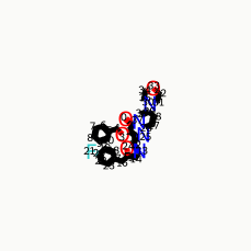 O=c1c(OCc2ccccc2)c(-c2ncc(Cc3ccc(F)cc3)o2)nc2ccc(N3CCOCC3)cn12